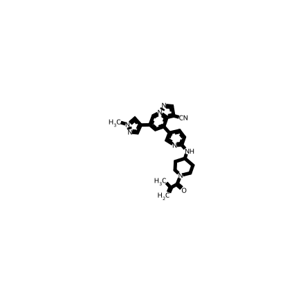 C=C(C)C(=O)N1CCC(Nc2ccc(-c3cc(-c4cnn(C)c4)cn4ncc(C#N)c34)cn2)CC1